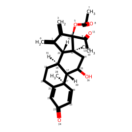 C=C1C(=C)[C@](OC(C)=O)(C(C)=O)[C@@]2(C)CC(O)[C@H]3[C@@H](CCC4=CC(=O)C=C[C@@]43C)[C@H]12